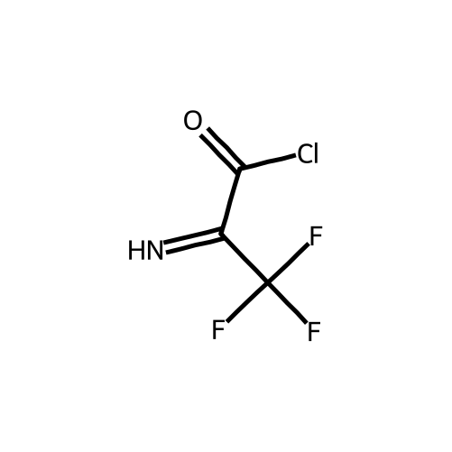 N=C(C(=O)Cl)C(F)(F)F